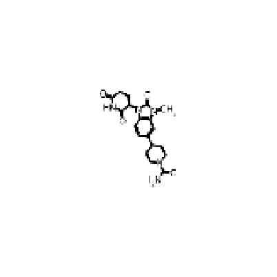 Cn1c(=O)n(C2CCC(=O)NC2=O)c2ccc(C3CCN(C(N)=O)CC3)cc21